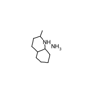 CC1CCC2CCCCC2N1.N